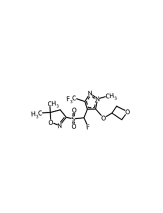 Cn1nc(C(F)(F)F)c(C(F)S(=O)(=O)C2=NOC(C)(C)C2)c1OC1COC1